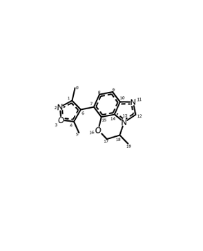 Cc1noc(C)c1-c1ccc2ncn3c2c1OCC3C